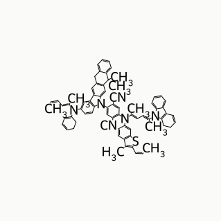 C/C=C\C=C(/C)N(C1=CC=CCC1)c1ccc2c(c1)c1cc3c(cc1n2-c1cc(C#N)c(N(/C(C)=C/C=C(\C)n2c4c(c5ccccc52)C=CCC4)c2ccc4c(C)c(/C=C\C)sc4c2)cc1C#N)C(C)(C)c1ccccc1C3